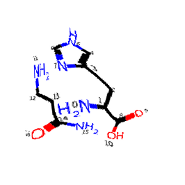 NC(Cc1c[nH]cn1)C(=O)O.NCCC(N)=O